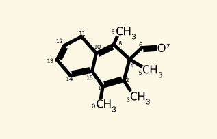 CC1=C(C)C(C)(C=O)C(C)=C2CC=CC=C12